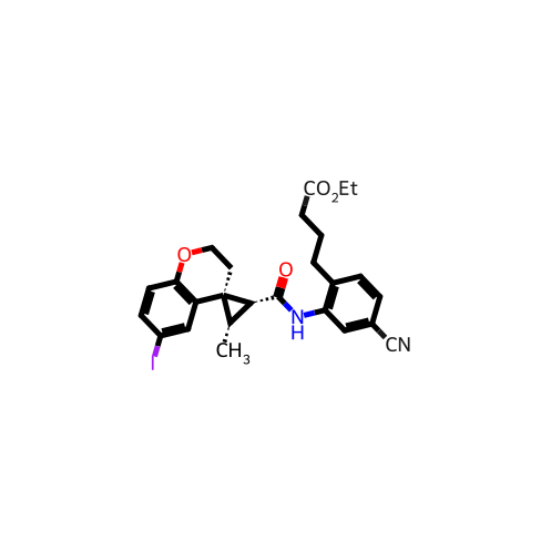 CCOC(=O)CCCc1ccc(C#N)cc1NC(=O)[C@@H]1[C@H](C)[C@]12CCOc1ccc(I)cc12